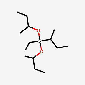 CCC(C)O[Si](CC)(OC(C)CC)C(C)CC